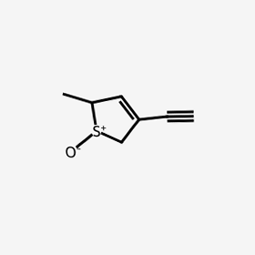 C#CC1=CC(C)[S+]([O-])C1